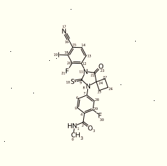 CNC(=O)c1ccc(N2C(=S)N(c3ccc(C#N)c(I)c3F)C(=O)C23CCC3)cc1F